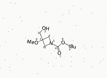 COC1(CO)CN(C(=O)OC(C)(C)C)C1